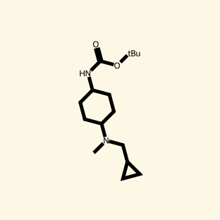 CN(CC1CC1)C1CCC(NC(=O)OC(C)(C)C)CC1